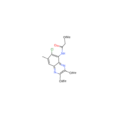 COCC(=O)Nc1c(Cl)c(C)cc2nc(OC)c(OC)nc12